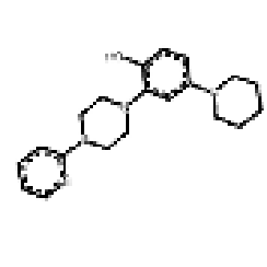 Oc1ccc(N2CCCCC2)cc1N1CCN(c2ccccn2)CC1